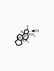 C#C[C@H]1[C@H](F)C[C@H]2[C@@H]3CC=C4CCCC[C@]4(C)[C@H]3CC[C@]12C